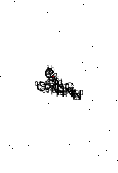 CCOc1ccc(-c2nc3ccc(C(=O)NCCN(C)C)cc3nc2-c2ccc(OCC)cc2)cc1